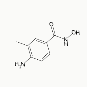 Cc1cc(C(=O)NO)ccc1N